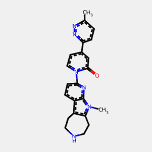 Cc1ccc(-c2ccn(-c3ccc4c5c(n(C)c4n3)CCNCC5)c(=O)c2)nn1